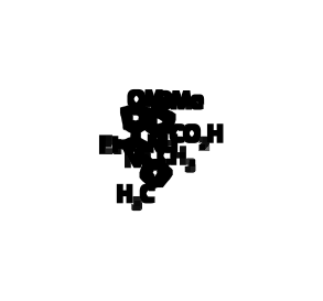 CCc1nn(-c2cc(C)ccc2C)c(Nc2ccc(OC)cc2C(=O)O)c1-c1ccc(OC)cc1